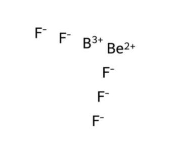 [B+3].[Be+2].[F-].[F-].[F-].[F-].[F-]